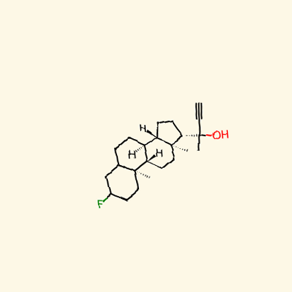 C#CC(C)(O)[C@H]1CC[C@H]2[C@@H]3CCC4CC(F)CC[C@]4(C)[C@H]3CC[C@]12C